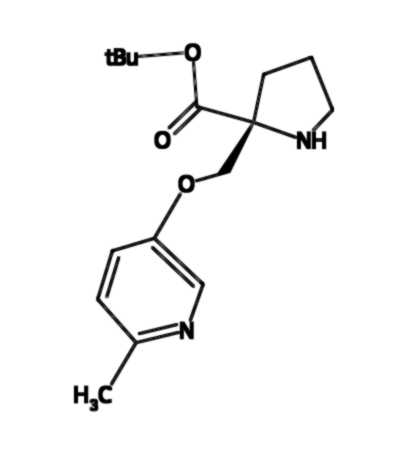 Cc1ccc(OC[C@@]2(C(=O)OC(C)(C)C)CCCN2)cn1